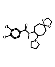 CN(C(=O)c1ccc(Cl)c(Cl)c1)C1CCC2(CCC1N1CCCC1)OCCO2